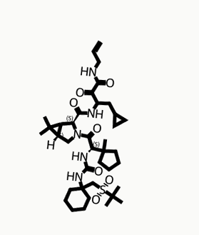 C=CCNC(=O)C(=O)C(CC1CC1)NC(=O)[C@@H]1C2[C@H](CN1C(=O)[C@@H](NC(=O)NC1(CS(=O)(=O)C(C)(C)C)CCCCC1)C1(C)CCCC1)C2(C)C